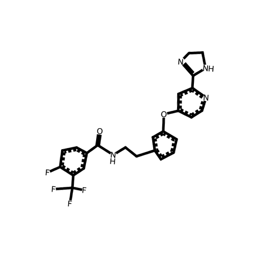 O=C(NCCc1cccc(Oc2ccnc(C3=NCCN3)c2)c1)c1ccc(F)c(C(F)(F)F)c1